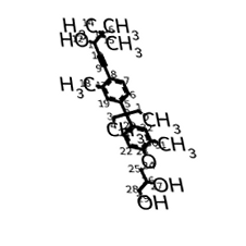 CCC(CC)(c1ccc(C#CC(O)C(C)(C)C)c(C)c1)c1ccc(OCC(O)CO)c(C)c1